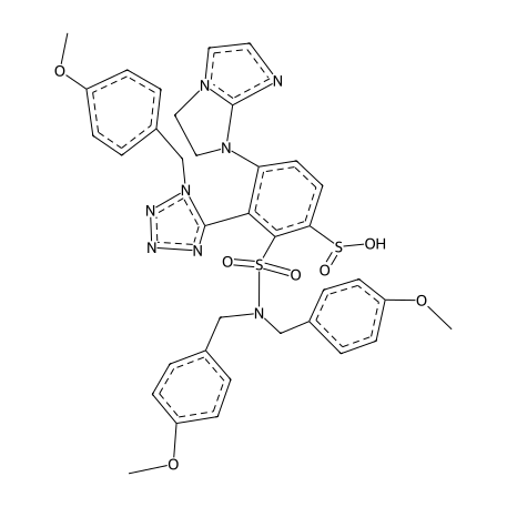 COc1ccc(CN(Cc2ccc(OC)cc2)S(=O)(=O)c2c(S(=O)O)ccc(N3CCn4ccnc43)c2-c2nnnn2Cc2ccc(OC)cc2)cc1